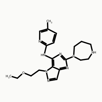 CCOCCn1ncc2nc(N3CCCNCC3)nc(Nc3ccc(C)cn3)c21